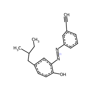 C#Cc1cccc(/N=N/c2cc(CC(C)CC)ccc2O)c1